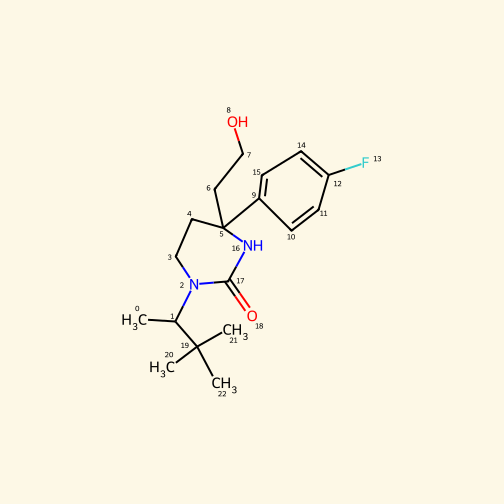 CC(N1CCC(CCO)(c2ccc(F)cc2)NC1=O)C(C)(C)C